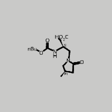 CCCCOC(=O)N[C@@H](CC(=O)O)CN1C[C@H](C)CC1=O